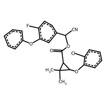 CC1(C)C(Oc2ccccc2Cl)C1C(=O)OC(C#N)c1ccc(F)c(Oc2ccccc2)c1